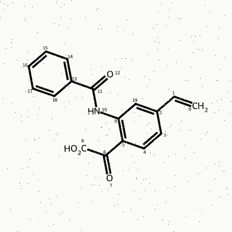 C=Cc1ccc(C(=O)C(=O)O)c(NC(=O)c2ccccc2)c1